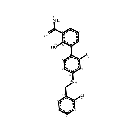 NC(=O)c1cccc(-c2ccc(NCc3cccnc3Cl)cc2Cl)c1O